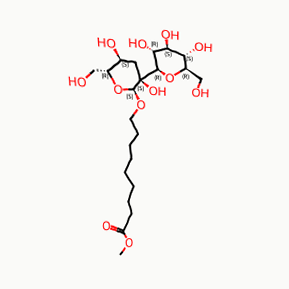 COC(=O)CCCCCCCCO[C@H]1O[C@H](CO)[C@@H](O)C[C@]1(O)[C@@H]1O[C@H](CO)[C@@H](O)[C@H](O)[C@H]1O